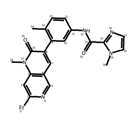 CCc1cc2c(cn1)cc(-c1cc(NC(=O)c3nccn3C)ccc1C)c(=O)n2C